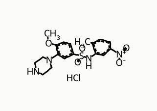 COc1ccc(S(=O)(=O)Nc2cc([N+](=O)[O-])ccc2C)cc1N1CCNCC1.Cl